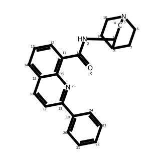 O=C(NC1CN2CCC1CC2)c1cccc2ccc(-c3ccccc3)nc12